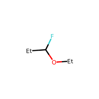 [CH2]COC(F)CC